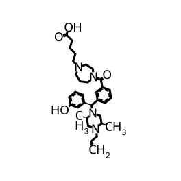 C=CCN1C[C@H](C)N([C@@H](c2cccc(O)c2)c2cccc(C(=O)N3CCCN(CCCCC(=O)O)CC3)c2)C[C@H]1C